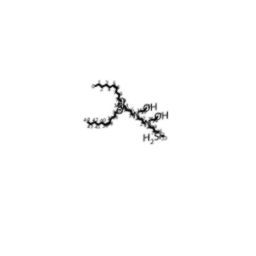 CCCCC/C=C\CCCO[Si](C)(CCCCN(CCO)CCCN(CCO)CCCC[SiH2]C)OCCC/C=C\CCCCC